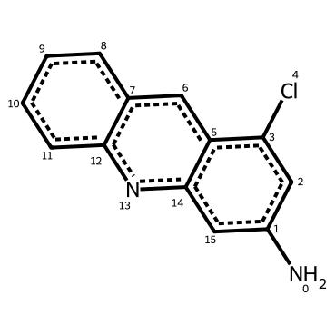 Nc1cc(Cl)c2cc3ccccc3nc2c1